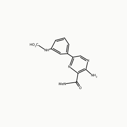 CNC(=O)c1nc(-c2cccc(NC(=O)O)c2)cnc1N